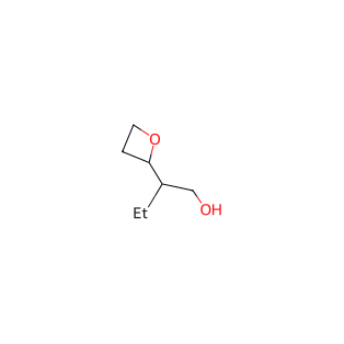 CCC(CO)C1CCO1